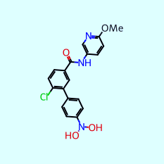 COc1ccc(NC(=O)c2ccc(Cl)c(-c3ccc(N(O)O)cc3)c2)cn1